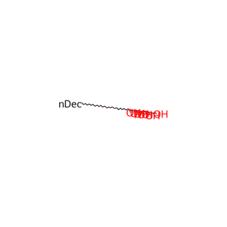 CCCCCCCCCCCCCCCCCCCCCCCCCCCCCCCCCCCC(O)CC(O)CC(O)CC(O)CC(O)CC(O)CCCO